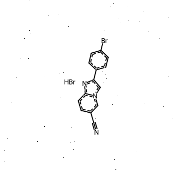 Br.N#Cc1ccc2nc(-c3ccc(Br)cc3)cn2c1